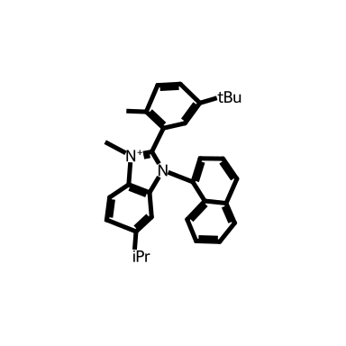 Cc1ccc(C(C)(C)C)cc1-c1n(-c2cccc3ccccc23)c2cc(C(C)C)ccc2[n+]1C